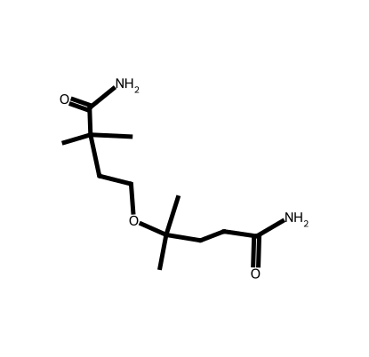 CC(C)(CCC(N)=O)OCCC(C)(C)C(N)=O